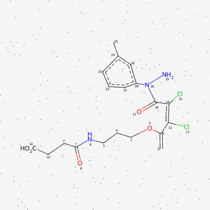 C=C(OCCCNC(=O)CCC(=O)O)/C(Cl)=C(/Cl)C(=O)N(N)c1cccc(C)c1